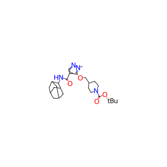 Cn1ncc(C(=O)NC2C3CC4CC(C3)CC2C4)c1OCC1CCN(C(=O)OC(C)(C)C)CC1